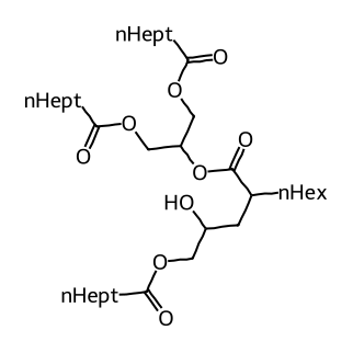 CCCCCCCC(=O)OCC(O)CC(CCCCCC)C(=O)OC(COC(=O)CCCCCCC)COC(=O)CCCCCCC